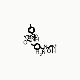 CNCC(=O)N=C(N)c1ccc(C[C@H](NS(=O)(=O)c2ccc(C)cc2)C(=O)OC)cc1